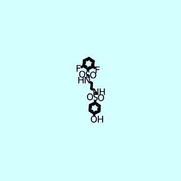 O=S(=O)(NCCNS(=O)(=O)c1c(F)cccc1F)c1ccc(O)cc1